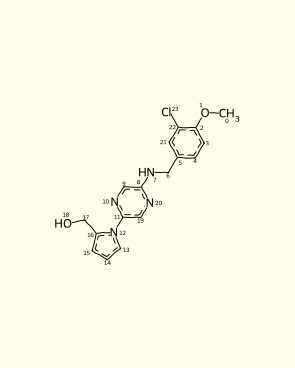 COc1ccc(CNc2cnc(-n3cccc3CO)cn2)cc1Cl